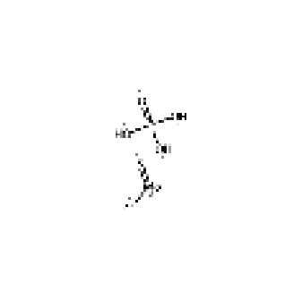 O=P(O)(O)O.[S]=[Mo][Zr]